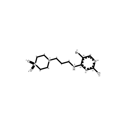 O=S1(=O)CCN(CCCNc2nc(Cl)ncc2Br)CC1